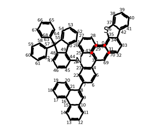 c1ccc(-c2ccc(-c3cc4ccccc4c4ccccc34)cc2N(c2cccc(-c3cccc4c3sc3ccccc34)c2)c2cccc3c2-c2ccccc2C3(c2ccccc2)c2ccccc2)cc1